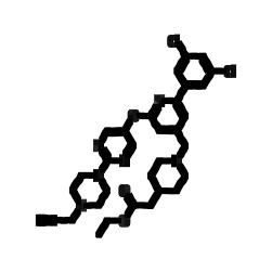 C#CCN1CCN(c2ncc(Oc3cc(CN4CCC(CC(=O)OCC)CC4)cc(-c4cc(Cl)cc(Cl)c4)n3)cn2)CC1